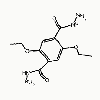 CCOc1cc(C(=O)NN)c(OCC)cc1C(=O)NN